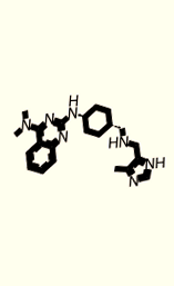 Cc1nc[nH]c1CNC[C@H]1CC[C@@H](Nc2nc(N(C)C)c3ccccc3n2)CC1